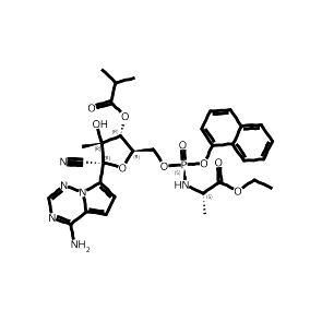 CCOC(=O)[C@H](C)N[P@](=O)(OC[C@H]1O[C@@](C#N)(c2ccc3c(N)ncnn23)[C@](C)(O)[C@@H]1OC(=O)C(C)C)Oc1cccc2ccccc12